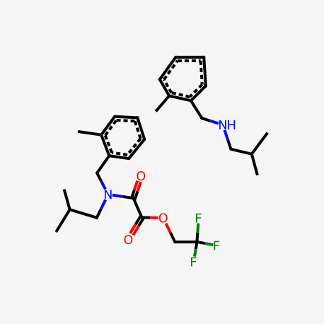 Cc1ccccc1CN(CC(C)C)C(=O)C(=O)OCC(F)(F)F.Cc1ccccc1CNCC(C)C